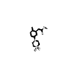 COC(=O)Cc1cc(N2CCS(=O)(=O)CC2)ccc1C